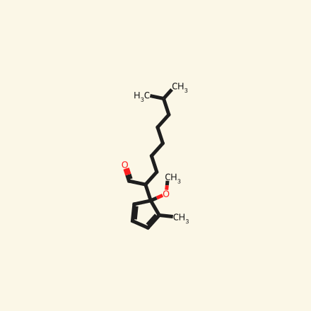 COC1(C(C=O)CCCCCC(C)C)C=CC=C1C